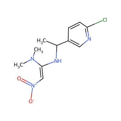 CC(NC(=C[N+](=O)[O-])N(C)C)c1ccc(Cl)nc1